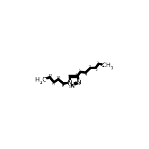 CCCCCCc1cn(CCCCC)nn1